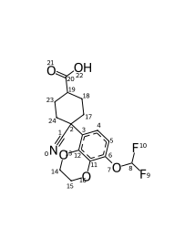 N#CC1(c2ccc(OC(F)F)c3c2OCCO3)CCC(C(=O)O)CC1